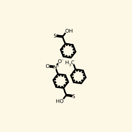 Cc1ccccc1.O=[N+]([O-])c1ccc(C(O)=S)cc1.OC(=S)c1ccccc1